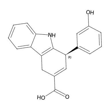 O=C(O)C1=C[C@H](c2cccc(O)c2)c2[nH]c3ccccc3c2C1